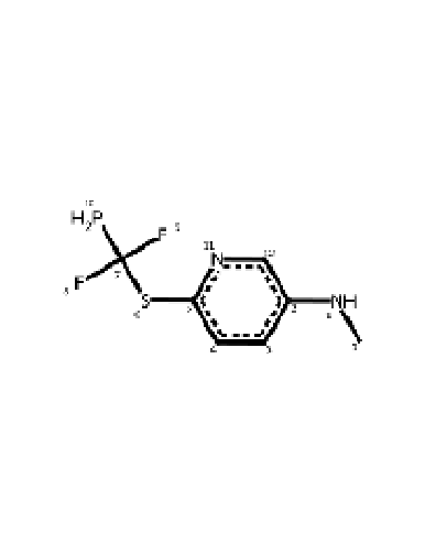 CNc1ccc(SC(F)(F)P)nc1